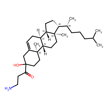 CC(C)CCC[C@@H](C)[C@H]1CC[C@H]2[C@@H]3CC=C4CC(O)(C(=O)CCN)CC[C@]4(C)[C@H]3CC[C@]12C